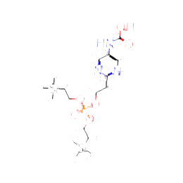 C[Si](C)(C)CCOP(=O)(OCCc1ncc(NC(=O)O)cn1)OCC[Si](C)(C)C